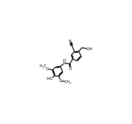 COc1cc(NC(=O)c2ccc(CO)c(C#N)c2)cc(OC)c1O